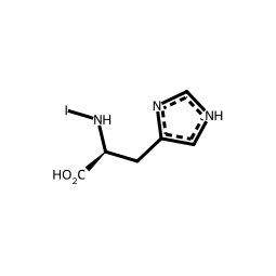 O=C(O)[C@H](Cc1c[nH]cn1)NI